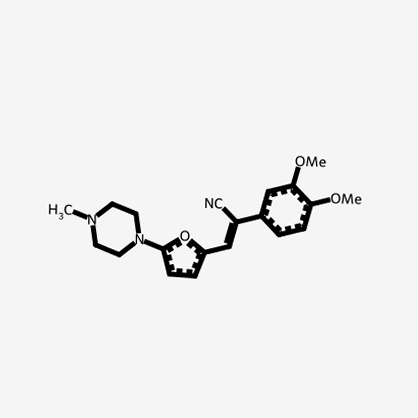 COc1ccc(C(C#N)=Cc2ccc(N3CCN(C)CC3)o2)cc1OC